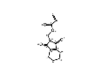 C=CC(=O)OCN1C(=O)C2=C(CCCC2)C1=O